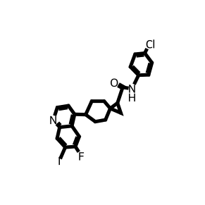 O=C(Nc1ccc(Cl)cc1)C1CC12CCC(c1ccnc3cc(I)c(F)cc13)CC2